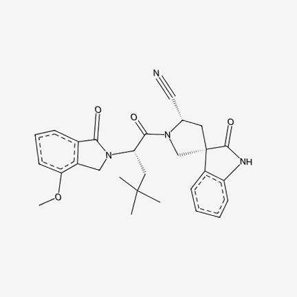 COc1cccc2c1CN([C@@H](CC(C)(C)C)C(=O)N1C[C@]3(C[C@H]1C#N)C(=O)Nc1ccccc13)C2=O